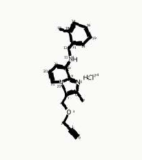 C#CCOCc1c(C)nc2c(NCc3ccccc3C)cccn12.Cl